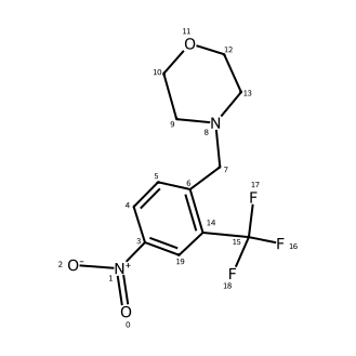 O=[N+]([O-])c1ccc(CN2CCOCC2)c(C(F)(F)F)c1